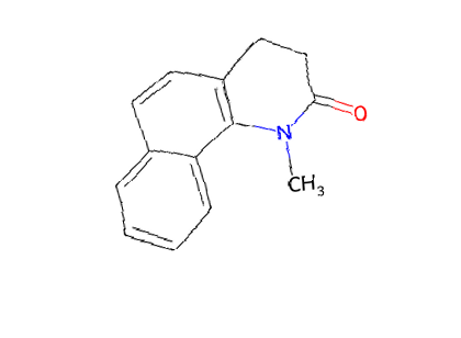 CN1C(=O)CCc2ccc3ccccc3c21